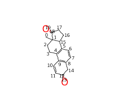 CC12CCc3c(ccc4c3C=CC(=O)C4)C1CCC2=O